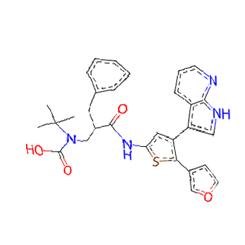 CC(C)(C)N(CC(Cc1ccccc1)C(=O)Nc1cc(-c2c[nH]c3ncccc23)c(-c2ccoc2)s1)C(=O)O